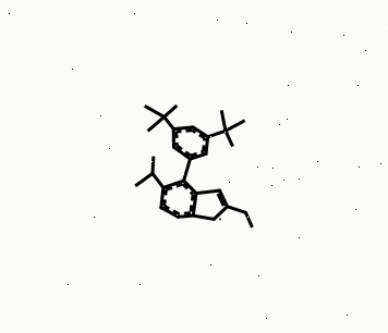 CCC1=Cc2c(ccc(C(C)C)c2-c2cc(C(C)(C)C)cc(C(C)(C)C)c2)[CH]1